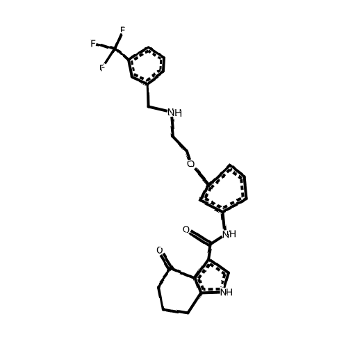 O=C(Nc1cccc(OCCNCc2cccc(C(F)(F)F)c2)c1)c1c[nH]c2c1C(=O)CCC2